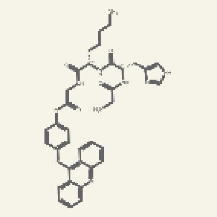 NCCCC[C@H](NC(=O)[C@H](Cc1c[nH]cn1)NC(=O)CN)C(=O)NCC(=O)Nc1ccc(Nc2c3ccccc3nc3ccccc23)cc1